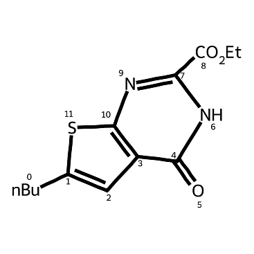 CCCCc1cc2c(=O)[nH]c(C(=O)OCC)nc2s1